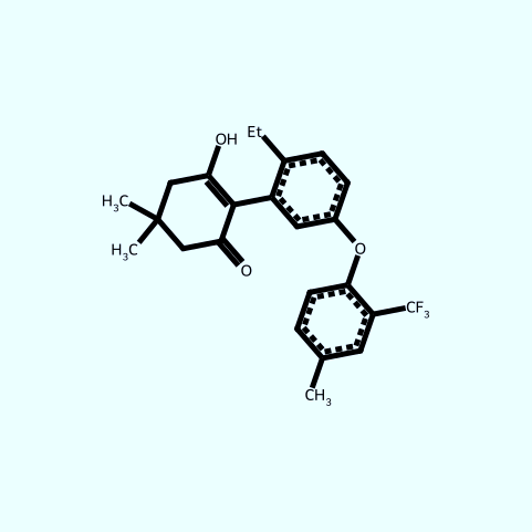 CCc1ccc(Oc2ccc(C)cc2C(F)(F)F)cc1C1=C(O)CC(C)(C)CC1=O